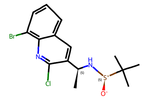 C[C@H](N[S@+]([O-])C(C)(C)C)c1cc2cccc(Br)c2nc1Cl